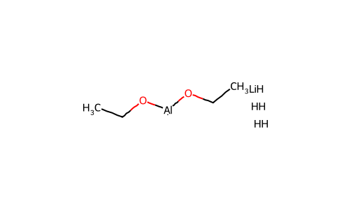 CC[O][Al][O]CC.[HH].[HH].[LiH]